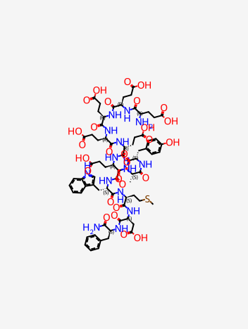 CSCC[C@H](NC(=O)[C@H](Cc1c[nH]c2ccccc12)NC(=O)CNC(=O)[C@H](Cc1ccc(O)cc1)NC(=O)[C@H](C)NC(=O)[C@@H](CCC(=O)O)NC(=O)[C@@H](CCC(=O)O)NC(=O)[C@@H](CCC(=O)O)NC(=O)[C@@H](CCC(=O)O)NC(=O)[C@@H](CCC(=O)O)NC(=O)[C@H](N)CCC(=O)O)C(=O)N[C@@H](CC(=O)O)C(=O)N[C@@H](Cc1ccccc1)C(N)=O